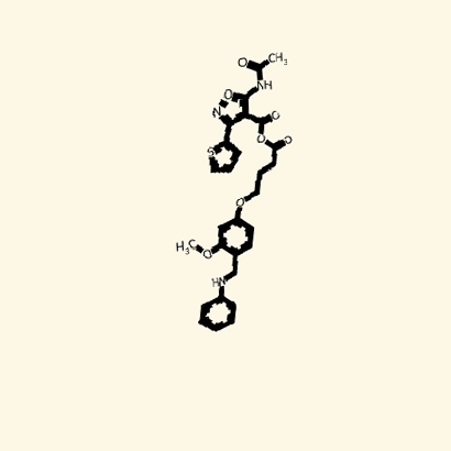 COc1cc(OCCCC(=O)OC(=O)c2c(-c3cccs3)noc2NC(C)=O)ccc1CNc1ccccc1